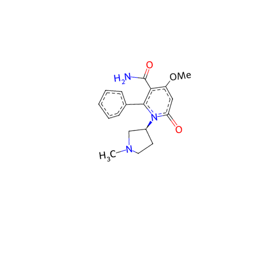 COc1cc(=O)n([C@H]2CCN(C)C2)c(-c2ccccc2)c1C(N)=O